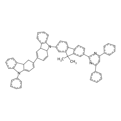 CC1(C)c2cc(-c3nc(-c4ccccc4)cc(-c4ccccc4)n3)ccc2-c2ccc(N3c4ccccc4C4C=C(C5=CC=C6C(C5)c5ccccc5N6c5ccccc5)C=CC43)cc21